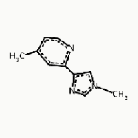 Cc1ccnc(-c2cn(C)cn2)c1